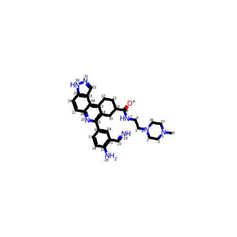 CN1CCN(CCNC(=O)C2CCc3c(c(-c4ccc(N)c(C=N)c4)nc4ccc5[nH]ncc5c34)C2)CC1